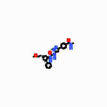 CNC(=O)c1ccc(-c2cc(NC(=O)N[C@@H]3C[C@@H](CCOC)C[C@H]3c3ccccc3)n(C)n2)cc1